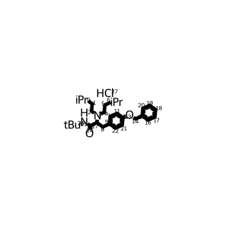 CC(C)CCN(CCC(C)C)C(Cc1ccc(OCc2ccccc2)cc1)C(=O)NC(C)(C)C.Cl